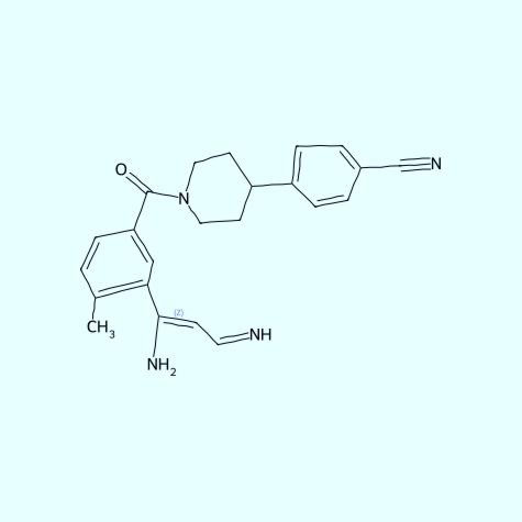 Cc1ccc(C(=O)N2CCC(c3ccc(C#N)cc3)CC2)cc1/C(N)=C/C=N